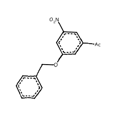 CC(=O)c1cc(OCc2ccccc2)cc([N+](=O)[O-])c1